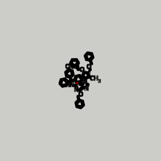 C=C1[C@H](COCc2ccccc2)[C@@H](OCc2ccccc2)C[C@@H]1n1cnc2c(OCc3ccccc3)nc(NC(c3ccccc3)(c3ccccc3)c3ccc(OC)cc3)nc21